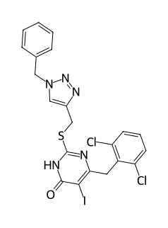 O=c1[nH]c(SCc2cn(Cc3ccccc3)nn2)nc(Cc2c(Cl)cccc2Cl)c1I